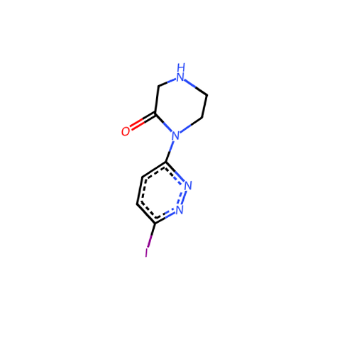 O=C1CNCCN1c1ccc(I)nn1